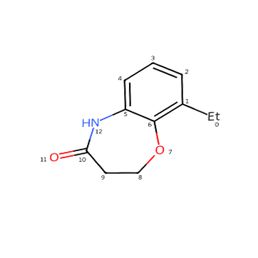 CCc1cccc2c1OCCC(=O)N2